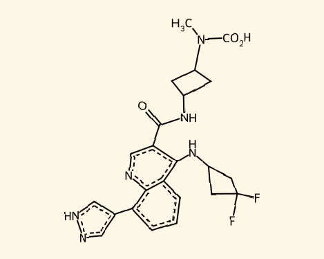 CN(C(=O)O)C1CC(NC(=O)c2cnc3c(-c4cn[nH]c4)cccc3c2NC2CC(F)(F)C2)C1